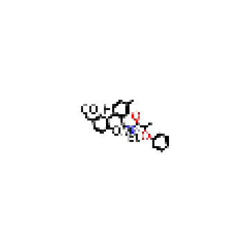 CCN(Cc1cc(C)ccc1-c1cc(CC(=O)O)ccc1OC)C(=O)C(C)Oc1ccccc1